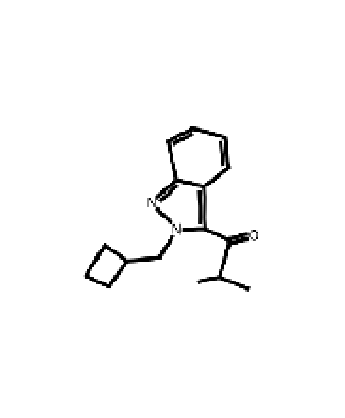 CC(C)C(=O)c1c2ccccc2nn1CC1CCC1